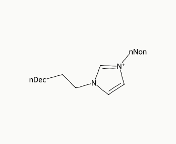 CCCCCCCCCCCCn1cc[n+](CCCCCCCCC)c1